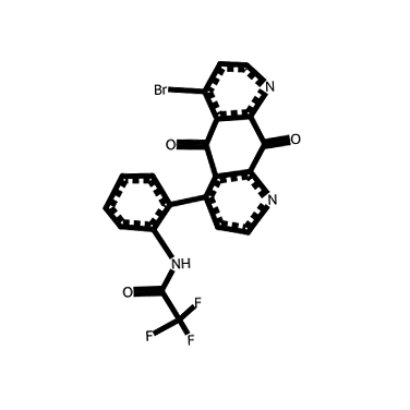 O=C1c2nccc(Br)c2C(=O)c2c(-c3ccccc3NC(=O)C(F)(F)F)ccnc21